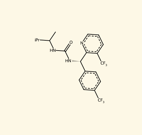 CC(C)C(C)NC(=O)N[C@@H](c1ccc(C(F)(F)F)cc1)c1ncccc1C(F)(F)F